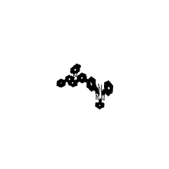 c1ccc(-c2nc(-c3ccccc3)nc(-c3ccc(-c4ccc5c(c4)-c4cccc6c(-c7ccccc7)ccc(c46)N5c4ccccc4)cc3)n2)cc1